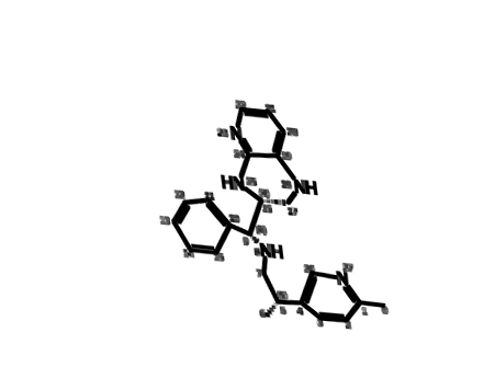 Cc1ccc([C@H](C)CN[C@H](c2ccccc2)[C@H]2CNc3cccnc3N2)cn1